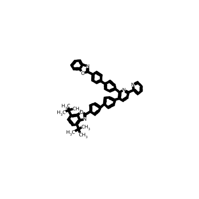 CC(C)(C)c1ccc(C(C)(C)C)c2oc(-c3ccc(-c4ccc(-c5ccc(-c6ccccn6)nc5-c5ccc(-c6ccc(-c7nc8ccccc8o7)cc6)cc5)cc4)cc3)nc12